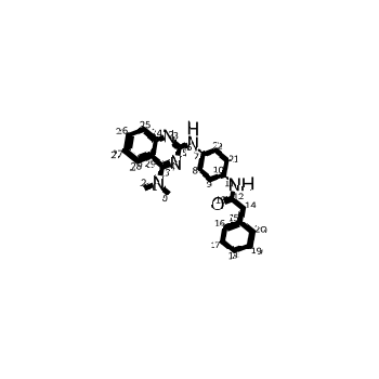 CN(C)c1nc(N[C@H]2CC[C@@H](NC(=O)CC3=CCCCC3)CC2)nc2ccccc12